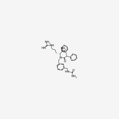 N=C(N)NCCC[C@H](C(N)=O)N(Cc1cccc(CNC(N)=O)c1)C(=O)C(c1ccccc1)c1ccccc1